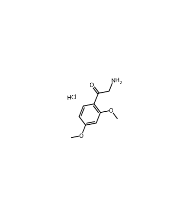 COc1ccc(C(=O)CN)c(OC)c1.Cl